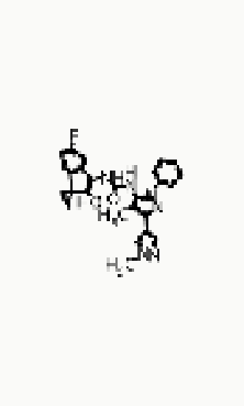 Cc1c(-c2cnn(C)c2)nn(-c2ccccc2)c1NC(=O)NC1=C(O)C2(CC2)c2ccc(F)cc21